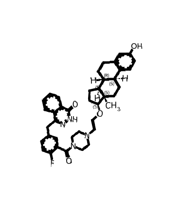 C[C@]12CC[C@@H]3c4ccc(O)cc4CC[C@H]3[C@@H]1CC[C@@H]2OCCN1CCN(C(=O)c2cc(Cc3n[nH]c(=O)c4ccccc34)ccc2F)CC1